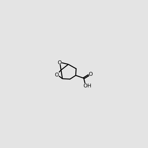 O=C(O)C1CC2OC23OC3C1